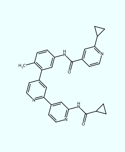 Cc1ccc(NC(=O)c2ccnc(C3CC3)c2)cc1-c1ccnc(-c2ccnc(NC(=O)C3CC3)c2)c1